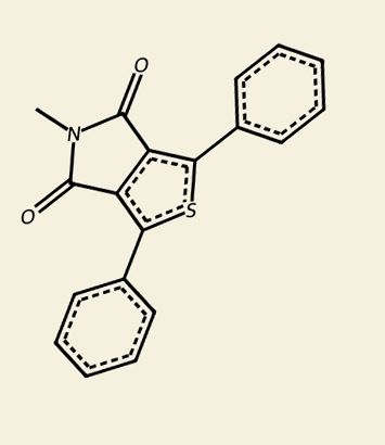 CN1C(=O)c2c(-c3ccccc3)sc(-c3ccccc3)c2C1=O